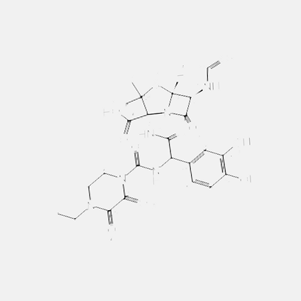 CCN1CCN(C(=O)NC(C(=O)N[C@@]2(C(=O)O)N3C(=O)[C@H](NC=O)[C@H]3SC2(C)C)c2ccc(O)c(O)c2)C(=O)C1=O